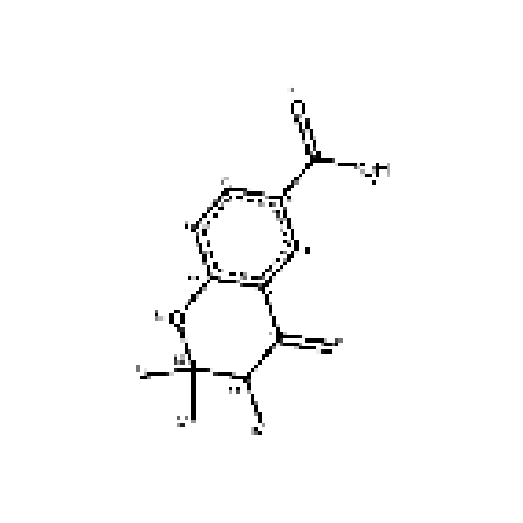 C=C1c2cc(C(=O)O)ccc2OC(C)(C)C1C